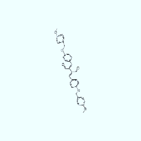 COc1ccc(COc2ccc(C=C(C=O)C(C=O)=Cc3ccc(OCc4ccc(OC)cc4)cc3)cc2)cc1